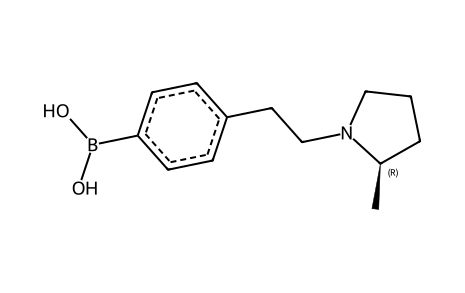 C[C@@H]1CCCN1CCc1ccc(B(O)O)cc1